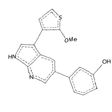 COc1sccc1-c1c[nH]c2ncc(-c3cccc(O)c3)cc12